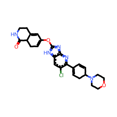 O=C1NCCC2=CC(Oc3nc4nc(C5=CCC(N6CCOCC6)C=C5)c(Cl)cc4[nH]3)=CCC12